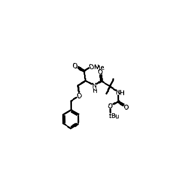 COC(=O)C(COCc1ccccc1)NC(=O)C(C)(C)NC(=O)OC(C)(C)C